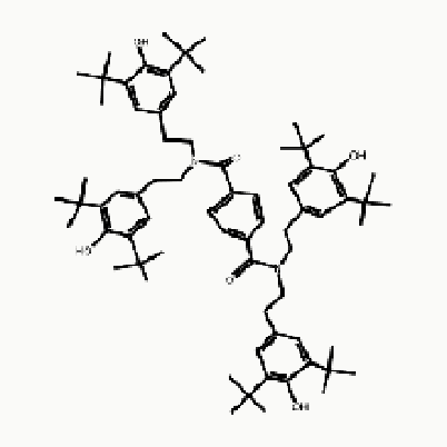 CC(C)(C)c1cc(CCN(CCc2cc(C(C)(C)C)c(O)c(C(C)(C)C)c2)C(=O)c2ccc(C(=O)N(CCc3cc(C(C)(C)C)c(O)c(C(C)(C)C)c3)CCc3cc(C(C)(C)C)c(O)c(C(C)(C)C)c3)cc2)cc(C(C)(C)C)c1O